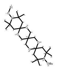 CCON1C(C)(C)CC2(CC1(C)C)OCC1(CO2)COC2(CC(C)(C)N(OCC(C)C)C(C)(C)C2)OC1